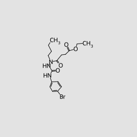 CCCCN(NC(=O)Nc1ccc(Br)cc1)C(=O)CCC(=O)OCC